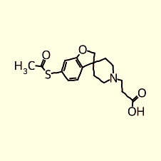 CC(=O)Sc1ccc2c(c1)OCC21CCN(CCC(=O)O)CC1